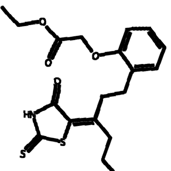 CCC/C(CCc1ccccc1OCC(=O)OCC)=C1\SC(=S)NC1=O